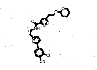 C[C@@H](Cn1ccc(-c2ccc(C#N)c(Cl)c2)n1)NC(=O)c1cc(CCOC2CCCCO2)on1